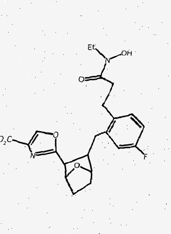 CCN(O)C(=O)CCc1ccc(F)cc1CC1C2CCC(O2)C1c1nc(C(=O)O)co1